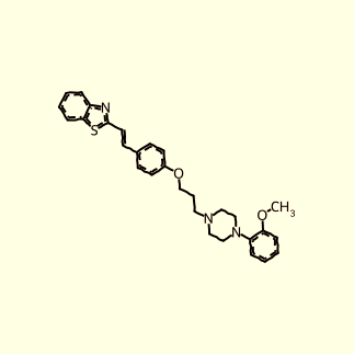 COc1ccccc1N1CCN(CCCOc2ccc(/C=C/c3nc4ccccc4s3)cc2)CC1